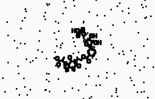 COC(=O)C(C)n1cnc2c1c(=O)n(CCOC(=O)c1ccc[n+]([C@@H]3O[C@H](COP(=O)([O-])O)[C@@H](O)[C@H]3O)c1)c(=O)n2C